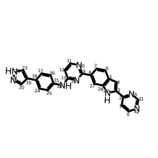 c1cc(-c2cc3ccc(-c4nccc(Nc5ccc(-c6cn[nH]c6)cc5)n4)cc3[nH]2)ncn1